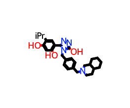 CC(C)c1cc(-c2nnc(O)n2Cc2ccc(CN3CCC4CCCCC4C3)cc2)c(O)cc1O